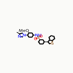 COc1cc(NS(=O)(=O)c2cccc(-c3csc4ccccc34)c2)ccc1-n1cnc(C)c1